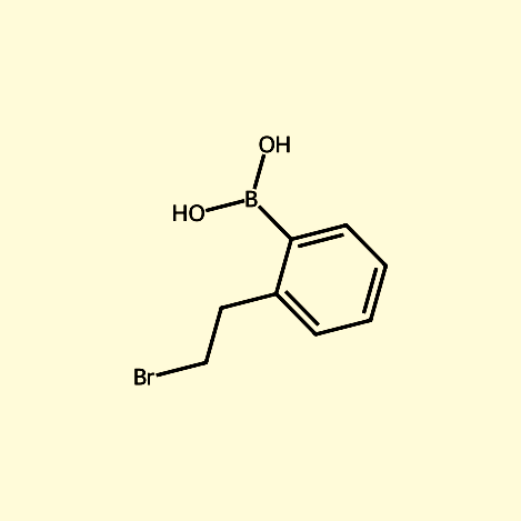 OB(O)c1ccccc1CCBr